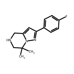 CC1(C)CNCc2cc(-c3ccc(F)cc3)nn21